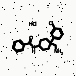 Cl.NCC1(c2cccc(Cl)c2)CCC(NC(=O)c2ccccc2)CC1